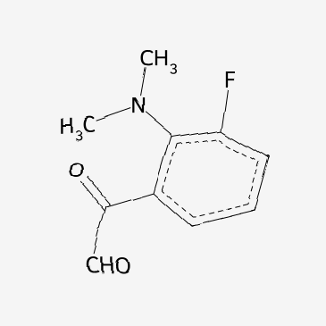 CN(C)c1c(F)cccc1C(=O)C=O